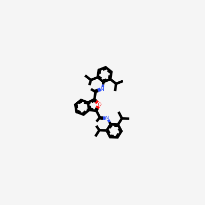 C/C(=N\c1c(C(C)C)cccc1C(C)C)c1oc(/C(C)=N/c2c(C(C)C)cccc2C(C)C)c2ccccc12